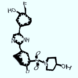 O=S(=O)(c1cc(-c2ncc(-c3ccc(F)c(O)c3)[nH]2)ccc1Cl)N1CCC(O)CC1